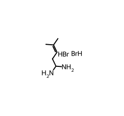 Br.Br.CC(C)=CCC(N)N